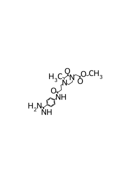 CCOC(=O)CN1CCN(CCC(=O)Nc2ccc(C(=N)N)cc2)C(C)C1=O